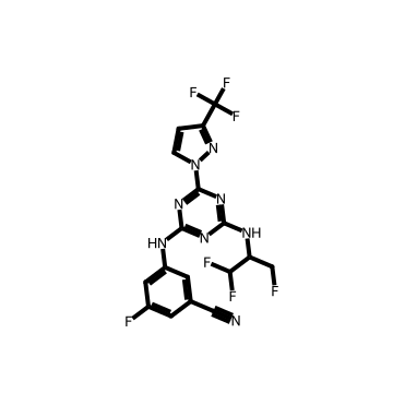 N#Cc1cc(F)cc(Nc2nc(NC(CF)C(F)F)nc(-n3ccc(C(F)(F)F)n3)n2)c1